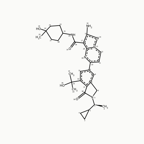 C[C@@H](C1CC1)N1Cc2cc(-c3ccn4nc(N)c(C(=O)NC5CCC(C)(O)CC5)c4n3)cc(C(C)(C)O)c2C1=O